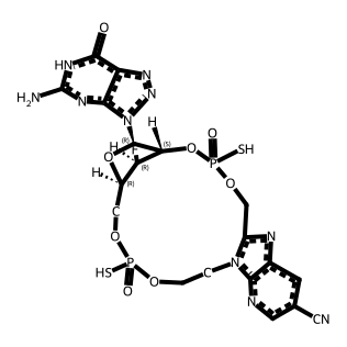 N#Cc1cnc2c(c1)nc1n2CCOP(=O)(S)OC[C@H]2O[C@@H](n3nnc4c(=O)[nH]c(N)nc43)[C@H](OP(=O)(S)OC1)[C@@H]2F